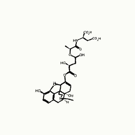 C[C@H](OC(O)C[C@H](O)C(=O)OC1=CC[C@@]2(O)[C@H]3Cc4ccc(O)c5c4C2(CCN3C)[C@H]1O5)C(=O)N[C@H](CC(=O)O)C(=O)O